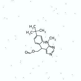 CNc1ncncc1C(COC=O)c1ccc(C(C)(C)C)cc1